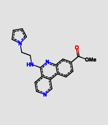 COC(=O)c1ccc2c(c1)nc(NCCn1cccc1)c1ccncc12